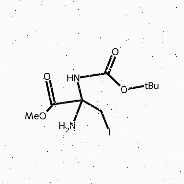 COC(=O)C(N)(CI)NC(=O)OC(C)(C)C